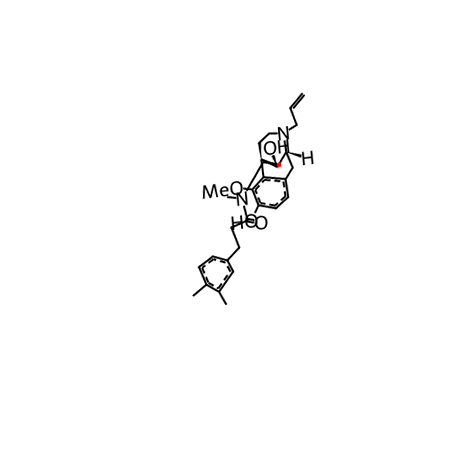 C=CCN1CC[C@]23CC(N(C)C(=O)CCc4ccc(C)c(C)c4)CC[C@@]2(O)[C@H]1Cc1ccc(O)c(OC)c13